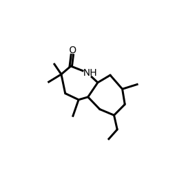 CCC1CC(C)CC2NC(=O)C(C)(C)CC(C)C2C1